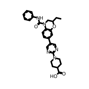 CCC1CN(C(=O)Nc2ccccc2)c2ccc(-c3cnc(N4CCC(C(=O)O)CC4)nc3)cc2O1